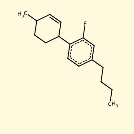 CCCCc1ccc(C2C=CC(C)CC2)c(F)c1